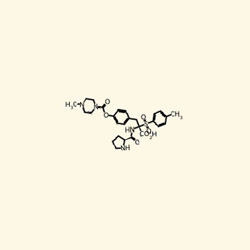 Cc1ccc(S(=O)(=O)[C@@](Cc2ccc(OC(=O)N3CCN(C)CC3)cc2)(NC(=O)[C@@H]2CCCN2)C(=O)O)cc1